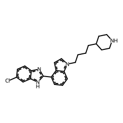 Clc1ccc2nc(-c3cccc4c3ccn4CCCCC3CCNCC3)[nH]c2c1